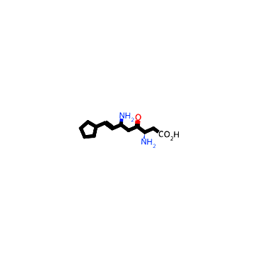 NC(/C=C/C1CCCC1)CC(=O)[C@@H](N)CC(=O)O